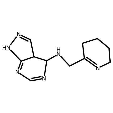 C1=NNC2=NC=NC(NCC3=NCCCC3)C12